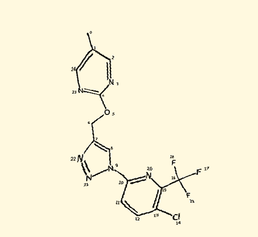 Cc1cnc(OCc2cn(-c3ccc(Cl)c(C(F)(F)F)n3)nn2)nc1